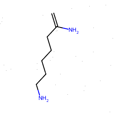 C=C(N)CCCCCN